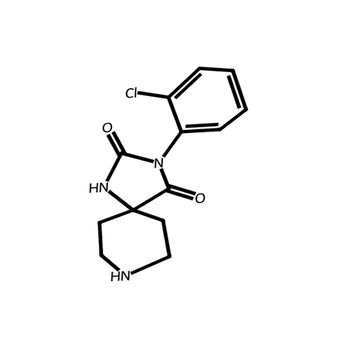 O=C1NC2(CCNCC2)C(=O)N1c1ccccc1Cl